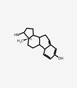 C[C@]12CCC3C4C=CC(O)=CC4=CCC3C1CCC2[NH]